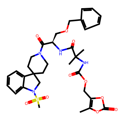 Cc1oc(=O)oc1COC(=O)NC(C)(C)C(=O)N[C@H](COCc1ccccc1)C(=O)N1CCC2(CC1)CN(S(C)(=O)=O)c1ccccc12